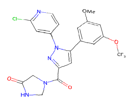 COc1cc(OC(F)(F)F)cc(-c2cc(C(=O)N3CNC(=O)C3)nn2-c2ccnc(Cl)c2)c1